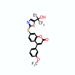 CCC(O)(c1cnc(Sc2ccc3c(-c4cccc(OC(F)(F)F)c4)cc(=O)oc3c2)s1)C(F)(F)F